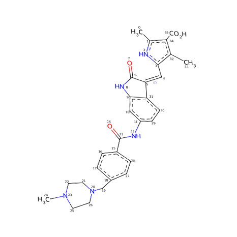 Cc1[nH]c(/C=C2\C(=O)Nc3cc(NC(=O)c4ccc(CN5CCN(C)CC5)cc4)ccc32)c(C)c1C(=O)O